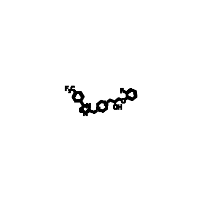 O[C@@H](COc1ccccc1F)CN1CCN(Cc2noc(-c3ccc(C(F)(F)F)cc3)n2)CC1